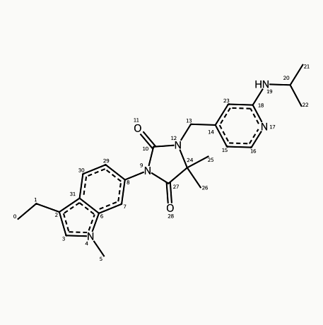 CCc1cn(C)c2cc(N3C(=O)N(Cc4ccnc(NC(C)C)c4)C(C)(C)C3=O)ccc12